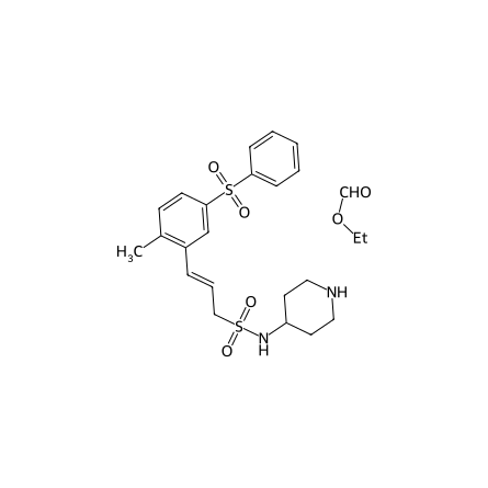 CCOC=O.Cc1ccc(S(=O)(=O)c2ccccc2)cc1C=CCS(=O)(=O)NC1CCNCC1